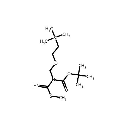 CSC(=N)N(COCC[Si](C)(C)C)C(=O)OC(C)(C)C